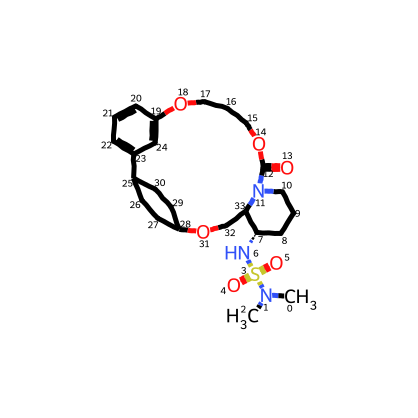 CN(C)S(=O)(=O)N[C@H]1CCCN2C(=O)OCCCOc3cccc(c3)C3CCC(CC3)OCC12